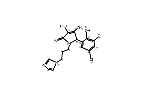 CC1=C(O)C(=O)N(CCCn2ccnc2)C1c1cc(Cl)cc(Cl)c1O